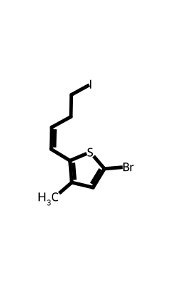 Cc1cc(Br)sc1/C=C\CCI